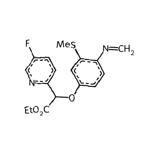 C=Nc1ccc(OC(C(=O)OCC)c2ccc(F)cn2)cc1SC